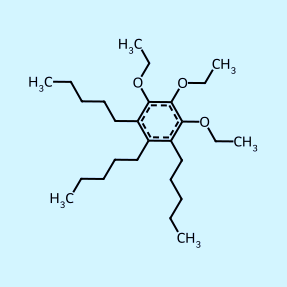 CCCCCc1c(CCCCC)c(OCC)c(OCC)c(OCC)c1CCCCC